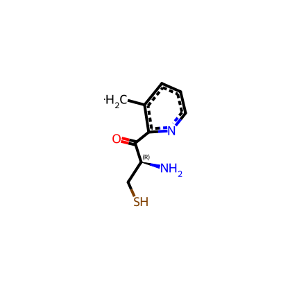 [CH2]c1cccnc1C(=O)[C@@H](N)CS